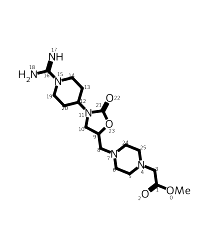 COC(=O)CN1CCN(CC2CN(C3CCN(C(=N)N)CC3)C(=O)O2)CC1